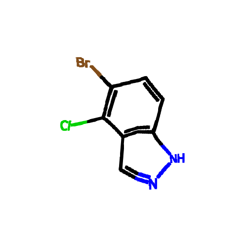 Clc1c(Br)ccc2[nH]ncc12